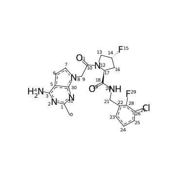 Cc1nc(N)c2ccn(CC(=O)N3C[C@H](F)C[C@H]3C(=O)NCc3cccc(Cl)c3F)c2n1